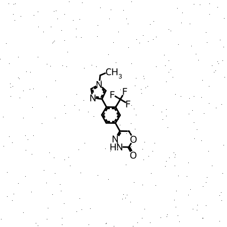 CCn1cnc(-c2ccc(C3=NNC(=O)OC3)cc2C(F)(F)F)c1